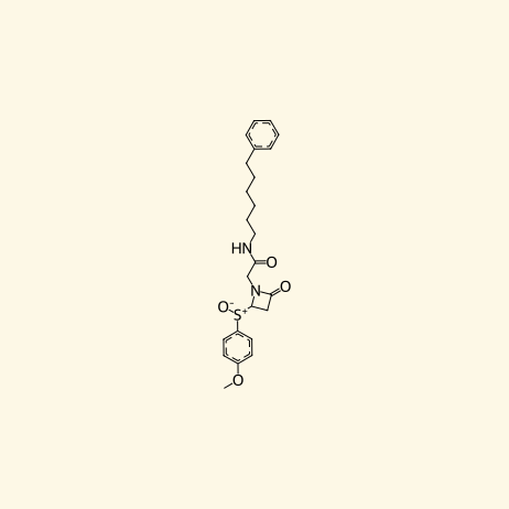 COc1ccc([S+]([O-])C2CC(=O)N2CC(=O)NCCCCCCc2ccccc2)cc1